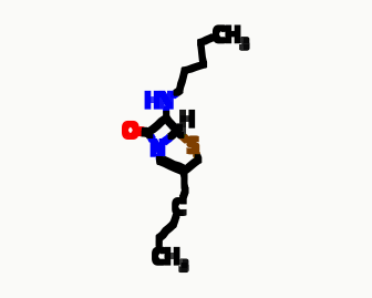 CCCCCNC1C(=O)N2C=C(CCCCC)CS[C@@H]12